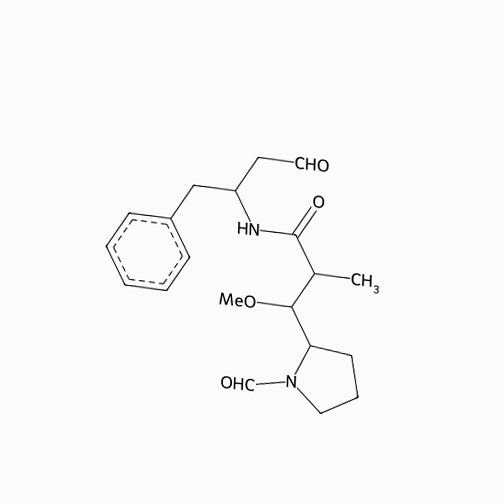 COC(C(C)C(=O)NC(CC=O)Cc1ccccc1)C1CCCN1C=O